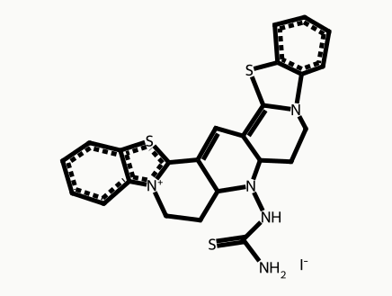 NC(=S)NN1C2CC[n+]3c(sc4ccccc43)C2=CC2=C3Sc4ccccc4N3CCC21.[I-]